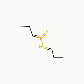 CCC=[SH]P(=S)=CCC